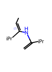 C=C(N/C(=C\C)C(C)C)C(C)C